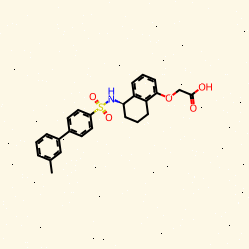 Cc1cccc(-c2ccc(S(=O)(=O)N[C@@H]3CCCc4c(OCC(=O)O)cccc43)cc2)c1